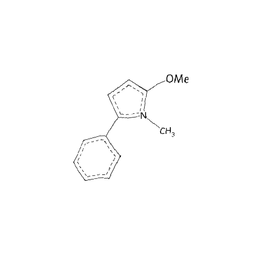 COc1ccc(-c2ccccc2)n1C